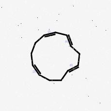 [C]1=C/C=C\CC/C=C\CC/C=C/C/1